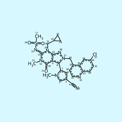 Cn1cc(C#N)cc1-c1c2c(=O)n(C)c(=NS(C)(=O)=O)n(CC3CC3)c2nn1Cc1ccnc2ccc(Cl)cc12